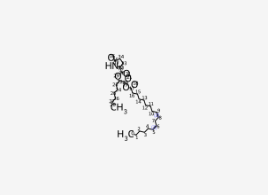 CCCCC/C=C\C/C=C\CCCCCCCC(=O)OC(=O)C(CCCCCC)OC(=O)[C@@H]1CCC(=O)N1